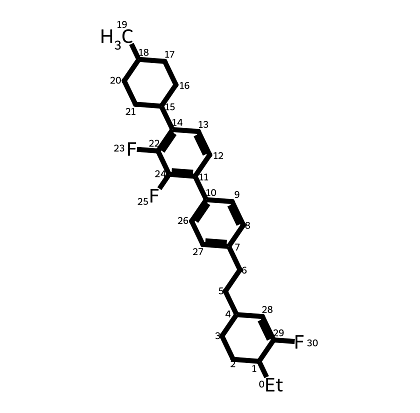 CCC1CCC(CCc2ccc(-c3ccc(C4CCC(C)CC4)c(F)c3F)cc2)C=C1F